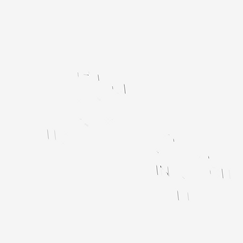 CCC(CO)(CO)NC(=O)CCc1cc(C)cc(C(C)(C)C)c1O